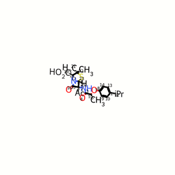 CC(=O)[C@]1(NC(=O)C(C)Oc2ccc(C(C)C)cc2)C(=O)N2[C@@H](C(=O)O)C(C)(C)S[C@@H]21